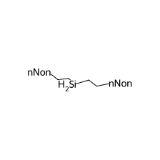 CCCCCCCCCCC[SiH2]CCCCCCCCCCC